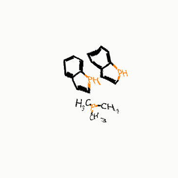 CP(C)C.c1ccc2[pH]ccc2c1.c1ccc2[pH]ccc2c1